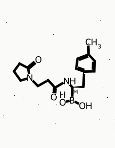 Cc1ccc(C[C@H](NC(=O)CCN2CCCC2=O)B(O)O)cc1